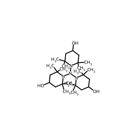 CC1(C)CC(O)CC(C)(C)N1N(N1C(C)(C)CC(O)CC1(C)C)N1C(C)(C)CC(O)CC1(C)C